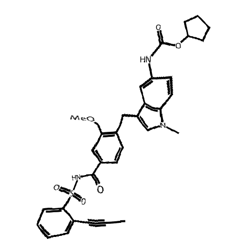 CC#Cc1ccccc1S(=O)(=O)NC(=O)c1ccc(Cc2cn(C)c3ccc(NC(=O)OC4CCCC4)cc23)c(OC)c1